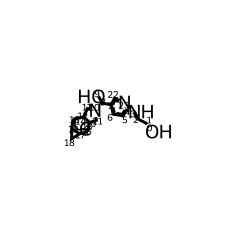 OCCNc1ccc(C(O)N2CC3C4CCC(C5CC45)C3C2)cn1